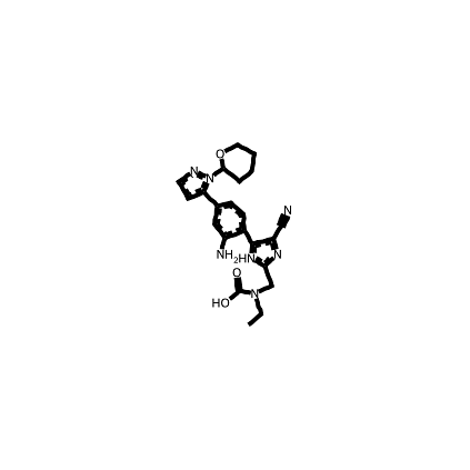 CCN(Cc1nc(C#N)c(-c2ccc(-c3ccnn3C3CCCCO3)cc2N)[nH]1)C(=O)O